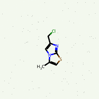 Cc1csc2nc(CCl)cn12